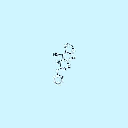 O=C(Cc1ccccc1)NC(C(=O)O)C(O)c1ccccc1